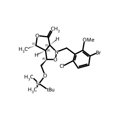 C=C1O[C@@H](C)[C@@H]2[C@H](CO[Si](C)(C)C(C)(C)C)ON(Cc3c(Cl)ccc(Br)c3OC)[C@H]12